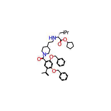 C=C(C)c1cc(C(=O)N2CCC(CCN[C@H](CC(C)C)C(=O)OC3CCCC3)CC2)c(OCc2ccccc2)cc1OCc1ccccc1